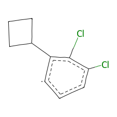 Clc1cc[c]c(C2CCC2)c1Cl